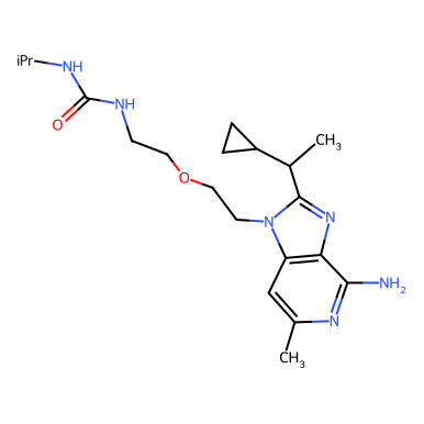 Cc1cc2c(nc(C(C)C3CC3)n2CCOCCNC(=O)NC(C)C)c(N)n1